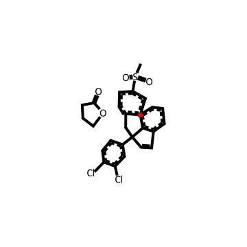 CS(=O)(=O)c1ccc(CC2(c3ccc(Cl)c(Cl)c3)C=Cc3ccccc32)cc1.O=C1CCCO1